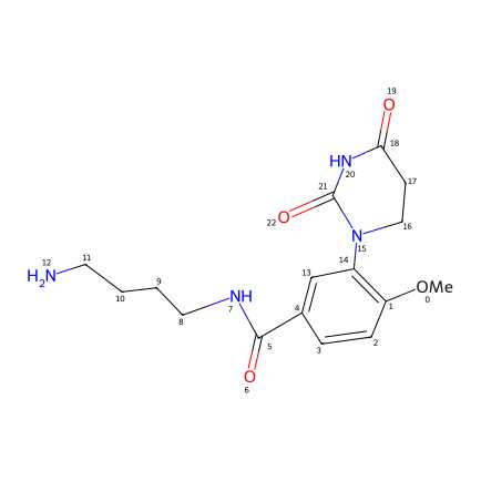 COc1ccc(C(=O)NCCCCN)cc1N1CCC(=O)NC1=O